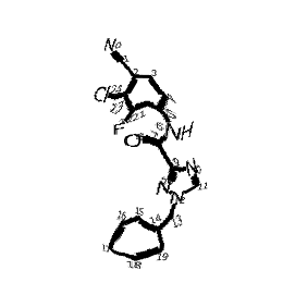 N#Cc1ccc(NC(=O)c2ncn(Cc3ccccc3)n2)c(F)c1Cl